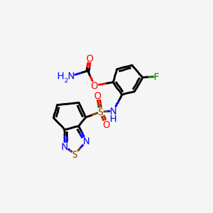 NC(=O)Oc1ccc(F)cc1NS(=O)(=O)c1cccc2nsnc12